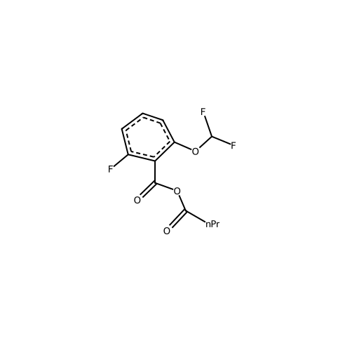 CCCC(=O)OC(=O)c1c(F)cccc1OC(F)F